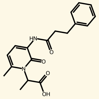 Cc1ccc(NC(=O)CCc2ccccc2)c(=O)n1C(C)C(=O)O